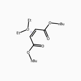 CCCCOC(=O)/C=C\C(=O)OCCCC.CCOCC